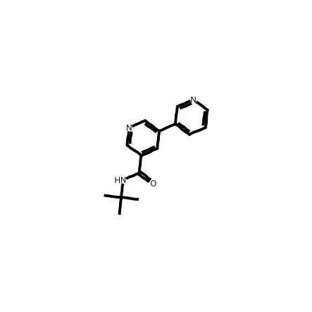 CC(C)(C)NC(=O)c1cncc(-c2cccnc2)c1